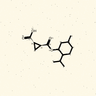 CC1CCC(C(C)C)C(OC(=O)[C@H]2C[C@@H]2C(=O)O)C1